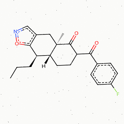 CCC[C@H]1c2oncc2C[C@@]2(C)C(=O)C(C(=O)c3ccc(F)cc3)CC[C@H]12